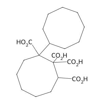 O=C(O)C1CCCCCC(C(=O)O)(C2CCCCCCC2)C1(C(=O)O)C(=O)O